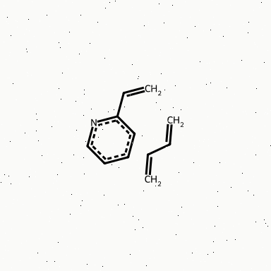 C=CC=C.C=Cc1ccccn1